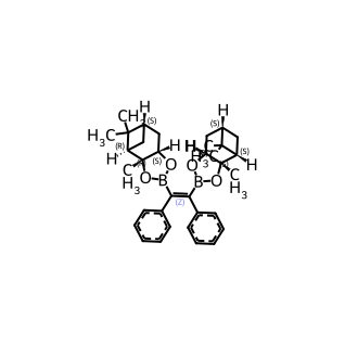 CC1(C)[C@@H]2C[C@@H]3OB(/C(=C(\B4O[C@@H]5C[C@@H]6C[C@@H](C6(C)C)[C@]5(C)O4)c4ccccc4)c4ccccc4)O[C@]3(C)[C@@H]1C2